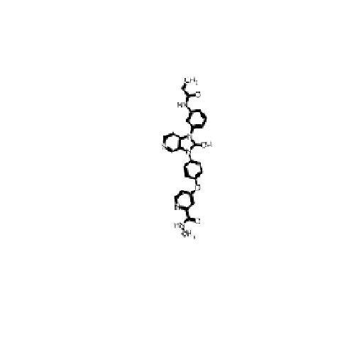 C=CC(=O)Nc1cccc(N2c3ccncc3N(c3ccc(Oc4ccnc(C(=O)NC)c4)cc3)C2O)c1